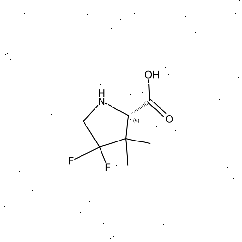 CC1(C)[C@@H](C(=O)O)NCC1(F)F